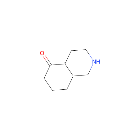 O=C1CCCC2CNCC[C]12